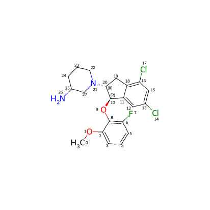 COc1cccc(F)c1O[C@@H]1c2cc(Cl)cc(Cl)c2C[C@H]1N1CCCC(N)C1